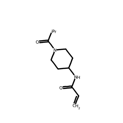 C=CC(=O)NC1CCN(C(=O)C(C)C)CC1